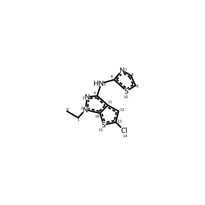 CCn1nc(Nc2nccs2)c2cc(Cl)sc21